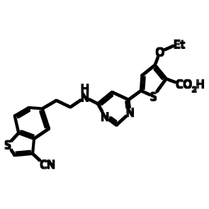 CCOc1cc(-c2cc(NCCc3ccc4scc(C#N)c4c3)ncn2)sc1C(=O)O